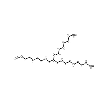 CC(C)(C)OCCOCCOCC(COCCOCCOC(C)(C)C)OCCOCCOC(C)(C)C